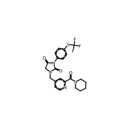 O=C(c1cc(CN2CC(=O)N(c3ccc(SC(F)(F)F)cc3)C2=O)ccn1)N1CCCCC1